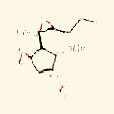 CO[C@H]1C([C@@]2(C)OC2CCC(C)C)[C@@]2(CO2)C[C@H]1OC(C)C